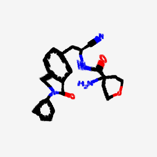 N#C[C@H](Cc1ccc2c(c1)C(=O)N(c1ccccc1)C2)NC(=O)C1(N)CCOCC1